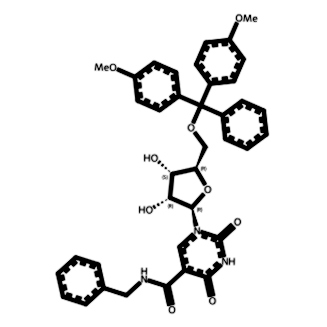 COc1ccc(C(OC[C@H]2O[C@@H](n3cc(C(=O)NCc4ccccc4)c(=O)[nH]c3=O)[C@H](O)[C@@H]2O)(c2ccccc2)c2ccc(OC)cc2)cc1